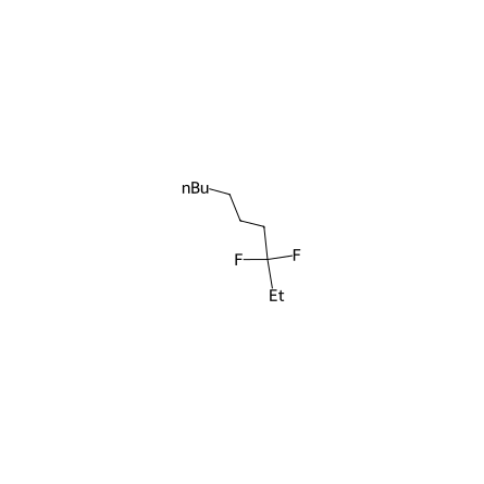 [CH2]CCCCCCC(F)(F)CC